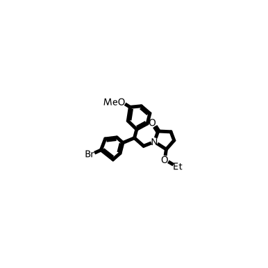 CCOC1CCC(=O)N1CC(c1ccc(Br)cc1)c1cccc(OC)c1